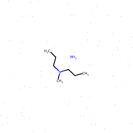 CCCN(C)CCC.N